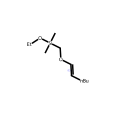 CCCC/C=C/OC[Si](C)(C)OCC